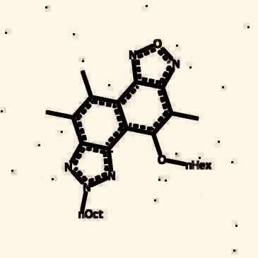 CCCCCCCCn1nc2c(C)c(C)c3c4nonc4c(C)c(OCCCCCC)c3c2n1